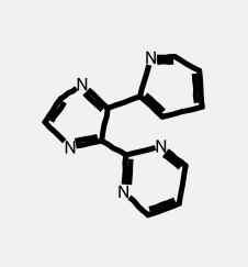 c1ccc(-c2nccnc2-c2ncccn2)nc1